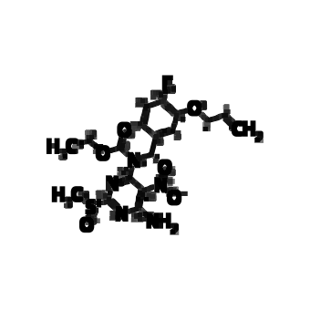 C=CCOc1cc(CN(C(=O)OCC)c2nc([S+](C)[O-])nc(N)c2[N+](=O)[O-])ccc1F